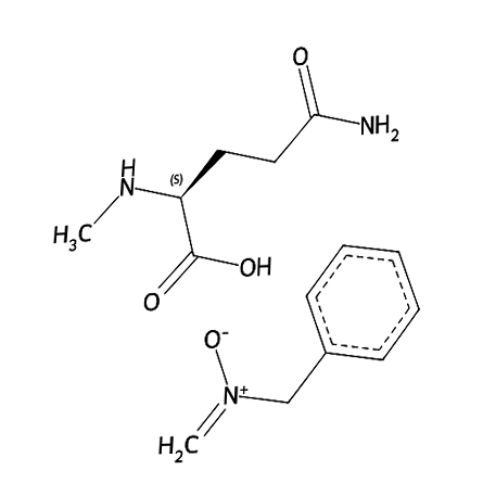 C=[N+]([O-])Cc1ccccc1.CN[C@@H](CCC(N)=O)C(=O)O